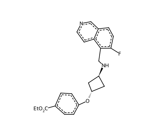 CCOC(=O)c1ccc(O[C@H]2C[C@H](NCc3c(F)ccc4cnccc34)C2)cc1